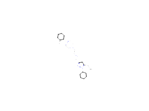 CCCc1cc(CNCCN2CCN(c3ccc(C)cc3C)CC2)nn1-c1ccccc1